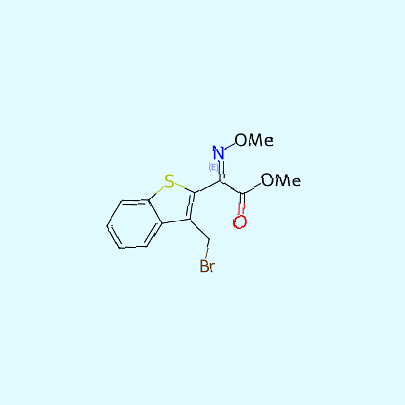 CO/N=C(\C(=O)OC)c1sc2ccccc2c1CBr